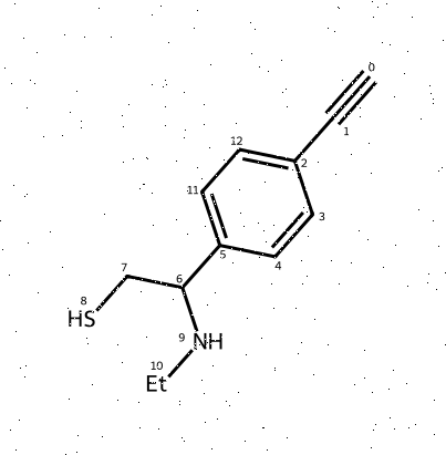 C#Cc1ccc(C(CS)NCC)cc1